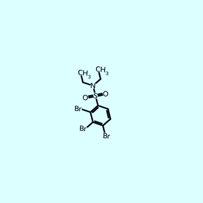 CCN(CC)S(=O)(=O)c1ccc(Br)c(Br)c1Br